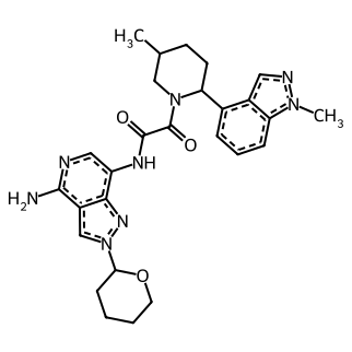 CC1CCC(c2cccc3c2cnn3C)N(C(=O)C(=O)Nc2cnc(N)c3cn(C4CCCCO4)nc23)C1